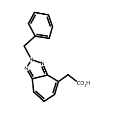 O=C(O)Cc1cccc2nn(Cc3ccccc3)nc12